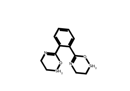 c1ccc(C2=NCC[SiH2]O2)c(C2=NCC[SiH2]O2)c1